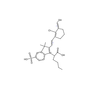 CCCCC(C(=O)O)[N+]1=C(/C=C/C2=C(Cl)C(=C/O)/CCC2)C(C)(C)c2cc(S(=O)(=O)O)ccc21